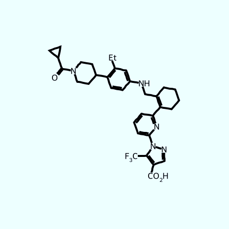 CCc1cc(NCC2=C(c3cccc(-n4ncc(C(=O)O)c4C(F)(F)F)n3)CCCC2)ccc1C1CCN(C(=O)C2CC2)CC1